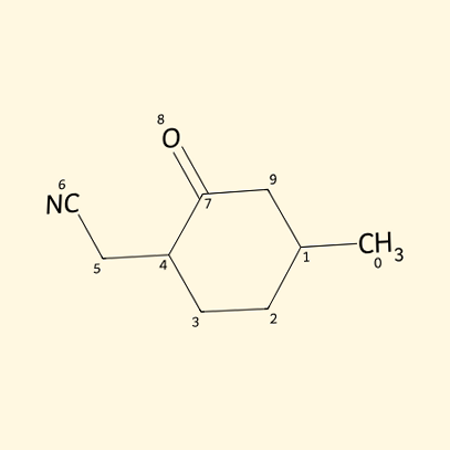 CC1CCC(CC#N)C(=O)C1